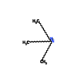 CCCCCCCCCCCCCCCCCc1n[c]nc(CCCCCCCCCCCCCCCCC)c1CCCCCCCCCCCCCCCCC